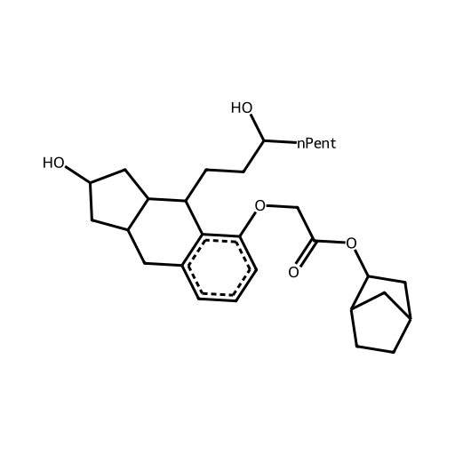 CCCCCC(O)CCC1c2c(cccc2OCC(=O)OC2CC3CCC2C3)CC2CC(O)CC21